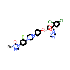 CCC(C)n1ncn(-c2ccc(N3CCN(c4ccc(OC[C@@H]5CO[C@@](Cn6cncn6)(c6ccc(Cl)cc6Cl)O5)cc4)CC3)c(F)c2)c1=O